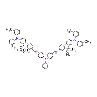 Cc1cccc(N(c2cccc(C)c2)c2ccc3c(c2)C(C)(C)c2cc(/C=C/c4ccc5c(c4)c4cc(/C=C/c6ccc7c(c6)C(C)(C)c6cc(N(c8cccc(C)c8)c8cccc(C)c8)ccc6-7)ccc4p5-c4ccccc4)ccc2-3)c1